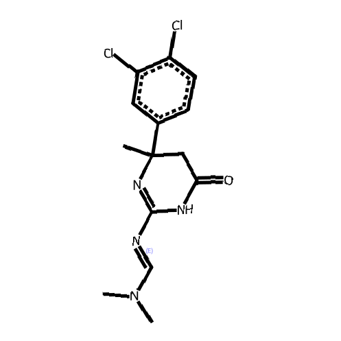 CN(C)/C=N/C1=NC(C)(c2ccc(Cl)c(Cl)c2)CC(=O)N1